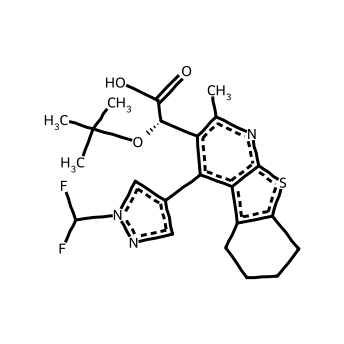 Cc1nc2sc3c(c2c(-c2cnn(C(F)F)c2)c1[C@H](OC(C)(C)C)C(=O)O)CCCC3